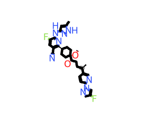 CO[C@]1(C(=O)CC[C@@H](C)c2ccc(-n3cc(F)cn3)nc2)CC[C@@H](c2nc(Nc3cc(C)[nH]n3)c(F)cc2C#N)CC1